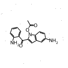 CC(=O)On1c(C(=O)c2ccccc2N)cc2cc(N)ccc21